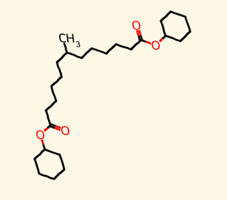 CC(CCCCCC(=O)OC1CCCCC1)CCCCCC(=O)OC1CCCCC1